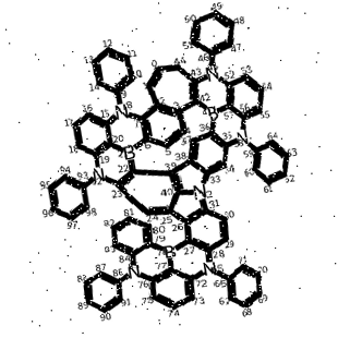 C1=Cc2c3ccc4c2N(c2ccccc2)c2cccc5c2B4c2c(cc4c6c7c(ccc6n6c8cc9c(cc8c2c46)B2C3=C(C1)N(c1ccccc1)c1cccc(c12)N9c1ccccc1)N(c1ccccc1)c1cccc2c1B7c1ccccc1N2c1ccccc1)N5c1ccccc1